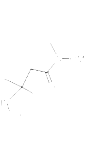 CON(C)C(=O)CC(C)(C)NC(=O)O